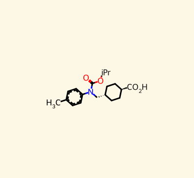 Cc1ccc(N(C[C@H]2CC[C@H](C(=O)O)CC2)C(=O)OC(C)C)cc1